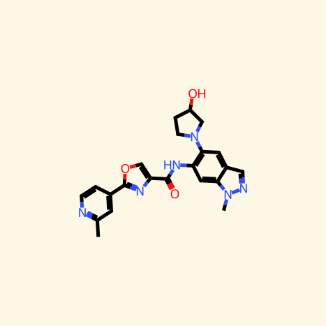 Cc1cc(-c2nc(C(=O)Nc3cc4c(cnn4C)cc3N3CCC(O)C3)co2)ccn1